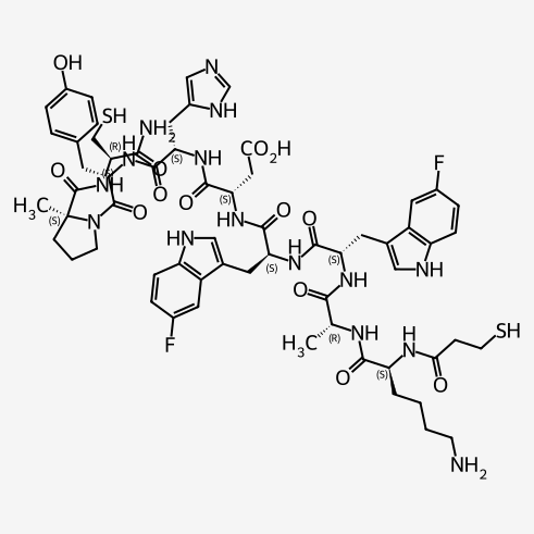 C[C@@H](NC(=O)[C@H](CCCCN)NC(=O)CCS)C(=O)N[C@@H](Cc1c[nH]c2ccc(F)cc12)C(=O)N[C@@H](Cc1c[nH]c2ccc(F)cc12)C(=O)N[C@@H](CC(=O)O)C(=O)N[C@@H](Cc1cnc[nH]1)C(=O)N[C@@H](Cc1ccc(O)cc1)C(=O)N1CCC[C@@]1(C)C(=O)N[C@@H](CS)C(N)=O